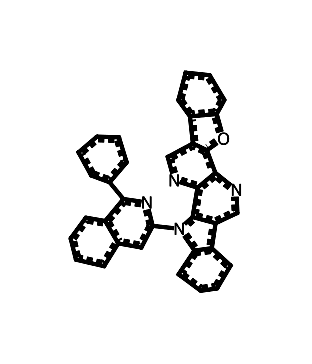 c1ccc(-c2nc(-n3c4ccccc4c4cnc5c(ncc6c7ccccc7oc65)c43)cc3ccccc23)cc1